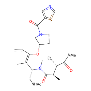 C=C/C(O[C@H]1CCN(C(=O)c2cncs2)C1)=C(\C)[C@@H](CNC(C)=O)N(C)C(=O)[C@H](C)[C@H](CC)C(=O)NC